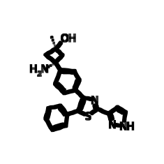 C[C@]1(O)C[C@@](N)(c2ccc(-c3nc(-c4cc[nH]n4)sc3-c3ccccc3)cc2)C1